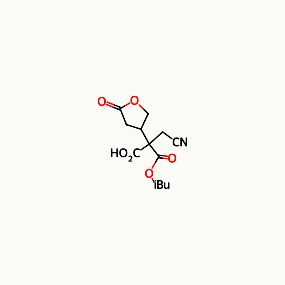 CCC(C)OC(=O)C(CC#N)(C(=O)O)C1COC(=O)C1